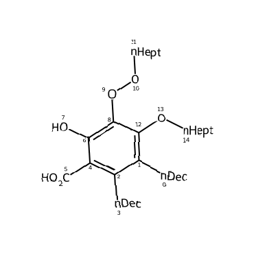 CCCCCCCCCCc1c(CCCCCCCCCC)c(C(=O)O)c(O)c(OOCCCCCCC)c1OCCCCCCC